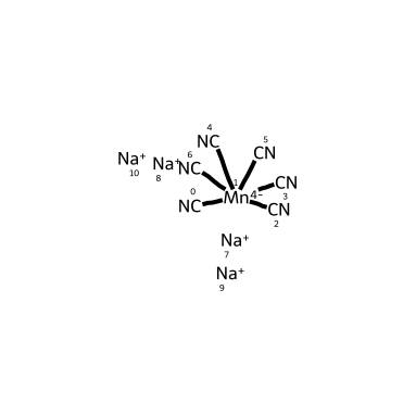 N#[C][Mn-4]([C]#N)([C]#N)([C]#N)([C]#N)[C]#N.[Na+].[Na+].[Na+].[Na+]